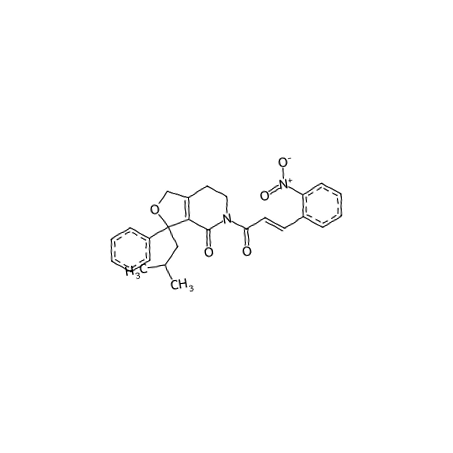 CC(C)CC1(c2ccccc2)OCC2=C1C(=O)N(C(=O)/C=C/c1ccccc1[N+](=O)[O-])CC2